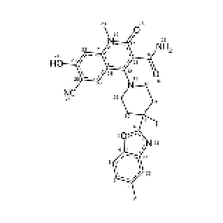 Cc1ccc2oc(C3(C)CCN(c4c(C(N)=O)c(=O)n(C)c5cc(O)c(C#N)cc45)CC3)nc2c1